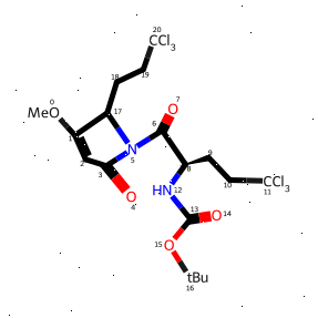 COC1=CC(=O)N(C(=O)[C@@H](CCC(Cl)(Cl)Cl)NC(=O)OC(C)(C)C)C1CCC(Cl)(Cl)Cl